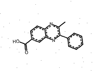 Cc1nc2ccc(C(=O)O)cc2nc1-c1ccccc1